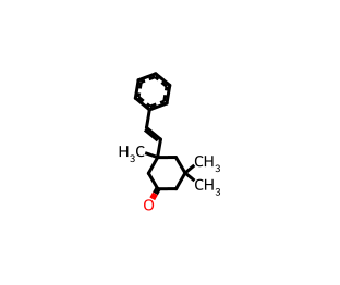 CC1(C)CC(=O)CC(C)(/C=C/c2ccccc2)C1